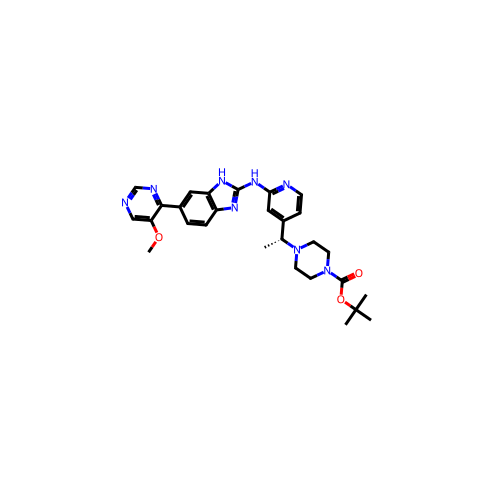 COc1cncnc1-c1ccc2nc(Nc3cc([C@@H](C)N4CCN(C(=O)OC(C)(C)C)CC4)ccn3)[nH]c2c1